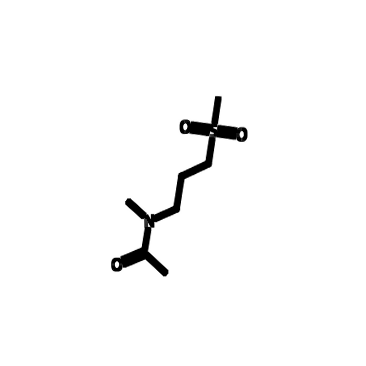 CC(=O)N(C)CCCS(C)(=O)=O